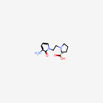 Nc1cccn(CCN2CCC[C@@H]2C(=O)O)c1=O